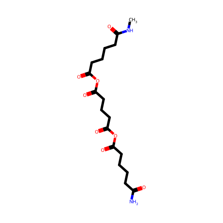 CNC(=O)CCCCC(=O)OC(=O)CCCC(=O)OC(=O)CCCCC(N)=O